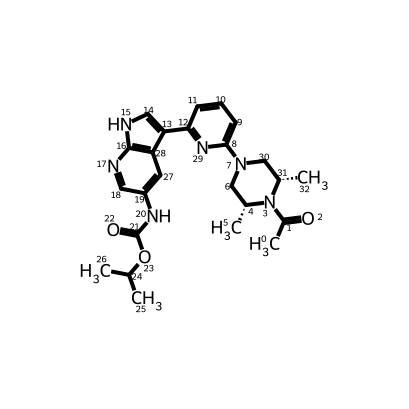 CC(=O)N1[C@H](C)CN(c2cccc(-c3c[nH]c4ncc(NC(=O)OC(C)C)cc34)n2)C[C@@H]1C